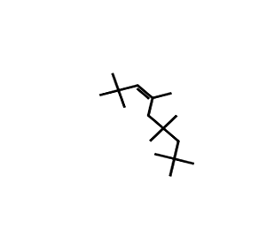 CC(=CC(C)(C)C)CC(C)(C)CC(C)(C)C